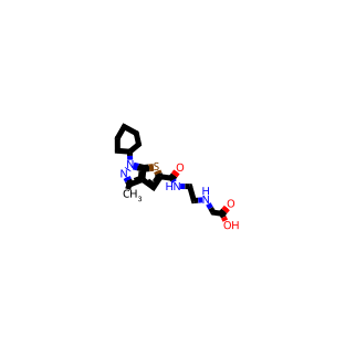 Cc1nn(C2CCCCC2)c2sc(C(=O)NCCNCC(=O)O)cc12